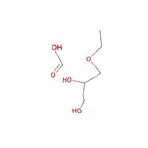 CCOCC(O)CO.O=CO